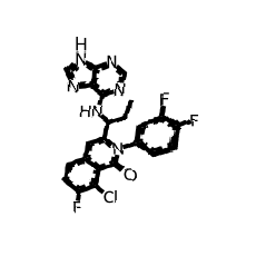 CCC(Nc1ncnc2[nH]cnc12)c1cc2ccc(F)c(Cl)c2c(=O)n1-c1ccc(F)c(F)c1